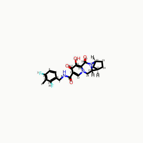 Cc1c(F)ccc(CNC(=O)c2cn3c(c(O)c2=O)C(=O)N2[C@H]4CC[C@H](C4)[C@@H]2C3)c1F